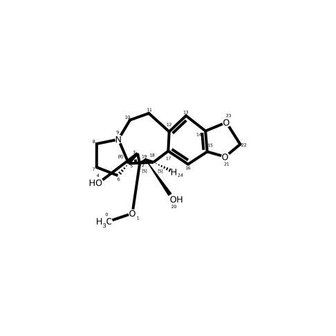 COC1=C(O)[C@]23CCCN2CCc2cc4c(cc2[C@@H]3[C@@H]1O)OCO4